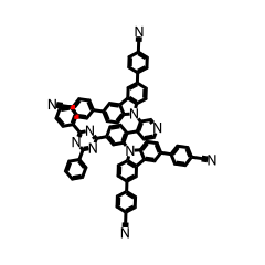 N#Cc1ccc(-c2ccc3c(c2)c2cc(-c4ccc(C#N)cc4)ccc2n3-c2cnccc2-c2ccc(-c3nc(-c4ccccc4)nc(-c4ccccc4)n3)cc2-n2c3ccc(-c4ccc(C#N)cc4)cc3c3cc(-c4ccc(C#N)cc4)ccc32)cc1